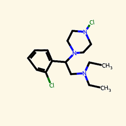 CCN(CC)CC(c1ccccc1Cl)N1CCN(Cl)CC1